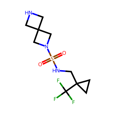 O=S(=O)(NCC1(C(F)(F)F)CC1)N1CC2(CNC2)C1